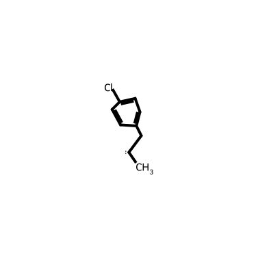 C[C]Cc1ccc(Cl)cc1